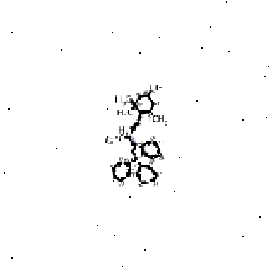 CC1=C(C#C/C(C)=C/C[P+](c2ccccc2)(c2ccccc2)c2ccccc2)C(C)(C)CC(O)C1.[Br-]